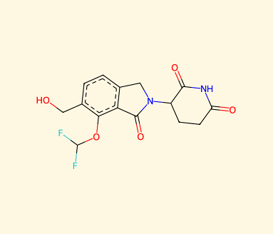 O=C1CCC(N2Cc3ccc(CO)c(OC(F)F)c3C2=O)C(=O)N1